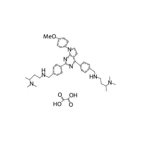 COc1ccc(-n2ccc3c(-c4ccc(CNCCC(C)N(C)C)cc4)nc(-c4ccc(CNCCC(C)N(C)C)cc4)nc32)cc1.O=C(O)C(=O)O